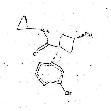 O=C(NC1CC1)[C@]1(c2cccc(Br)c2)C[C@H](O)C1